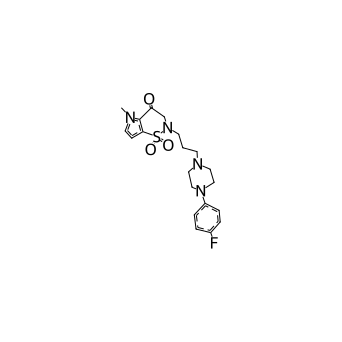 Cn1ccc2c1C(=O)CN(CCCN1CCN(c3ccc(F)cc3)CC1)S2(=O)=O